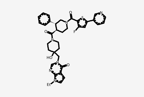 CCn1ccc2c(=O)n(CC3(O)CCN(C(=O)[C@@H]4CCN(C(=O)c5sc(-c6cccnc6)cc5F)C[C@H]4c4ccccc4)CC3)cnc21